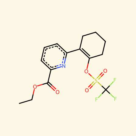 CCOC(=O)c1cccc(C2=C(OS(=O)(=O)C(F)(F)F)CCCC2)n1